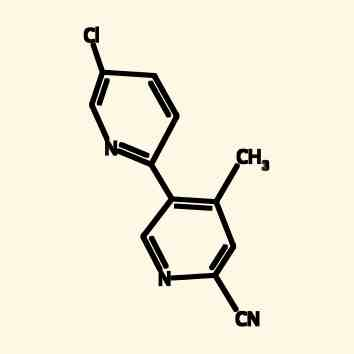 Cc1cc(C#N)ncc1-c1ccc(Cl)cn1